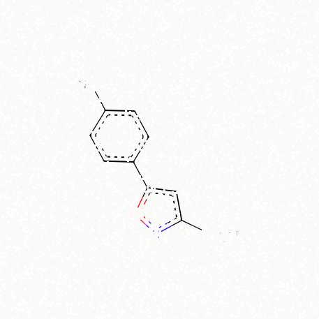 CCOC(=O)c1cc(-c2ccc(C#N)cc2)on1